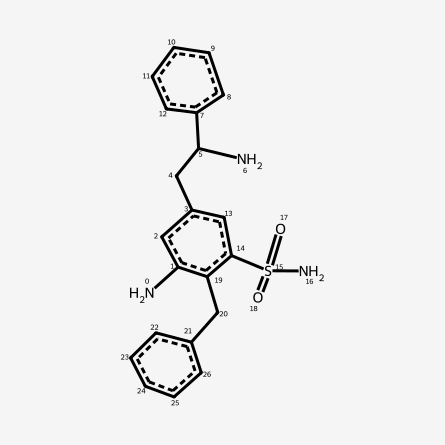 Nc1cc(CC(N)c2ccccc2)cc(S(N)(=O)=O)c1Cc1ccccc1